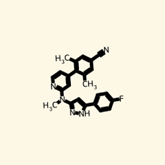 Cc1cc(C#N)cc(C)c1-c1ccnc(N(C)c2cc(-c3ccc(F)cc3)[nH]n2)c1